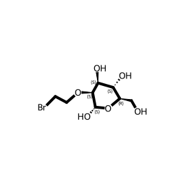 OC[C@H]1O[C@H](O)[C@@H](OCCBr)[C@@H](O)[C@@H]1O